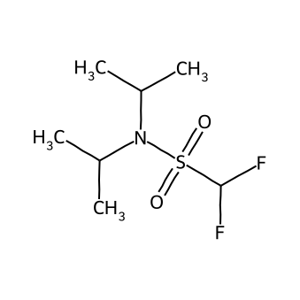 CC(C)N(C(C)C)S(=O)(=O)C(F)F